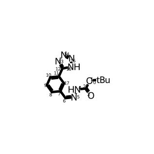 CC(C)(C)OC(=O)N/N=C\c1cccc(-c2nnn[nH]2)c1